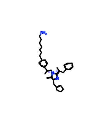 C=c1c(CC2=CCCC2)n/c(=C(/C)Cc2ccccc2)n1/C=C(\C)c1ccc(CCCCCCCN)cc1